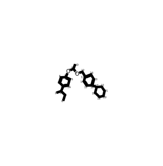 CCC(C)c1ccc(OC(C)OCc2ccc(C3CCCCC3)cc2)cc1